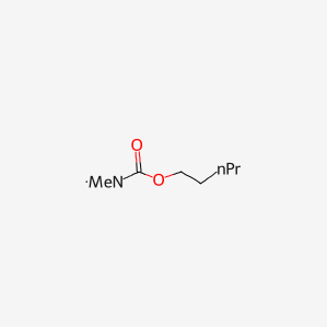 CCCCCOC(=O)[N]C